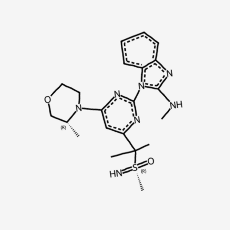 CNc1nc2ccccc2n1-c1nc(N2CCOC[C@H]2C)cc(C(C)(C)[S@](C)(=N)=O)n1